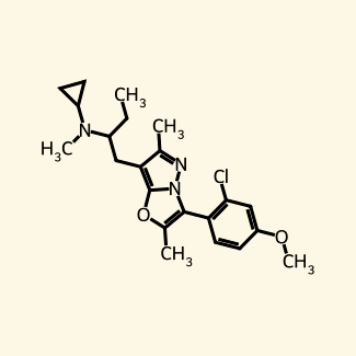 CCC(Cc1c(C)nn2c(-c3ccc(OC)cc3Cl)c(C)oc12)N(C)C1CC1